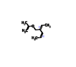 C=C(C)OCC(/C=C\C)=C/C